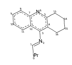 CC(C)/C=N/c1c2c(nc3ccccc13)CCCC2